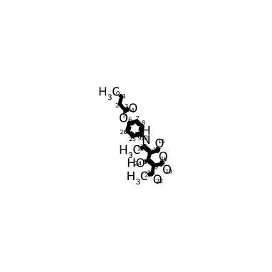 CCCC(=O)Oc1ccc(N/C(C)=C2\C(=O)OC(=O)C(C(C)=O)=C2O)cc1